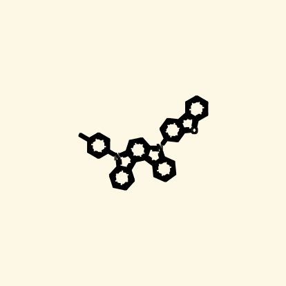 Cc1ccc(-n2c3ccccc3c3c4c5ccccc5n(-c5ccc6c(c5)oc5ccccc56)c4ccc32)cc1